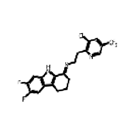 Fc1cc2[nH]c3c(c2cc1F)CCC/C3=N\CCc1ncc(C(F)(F)F)cc1Cl